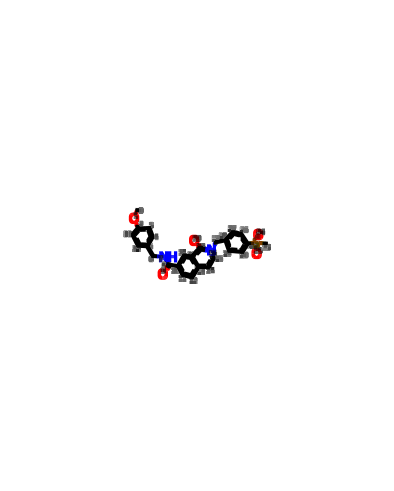 COc1ccc(CNC(=O)c2ccc3ccn(Cc4ccc(S(C)(=O)=O)cc4)c(=O)c3c2)cc1